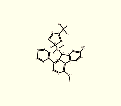 COc1ccc(-c2ccccc2)c2c1-c1ccc(Cl)cc1[CH]2[Zr]([CH3])([CH3])[C]1(C)C=CC(C(C)(C)C)=C1